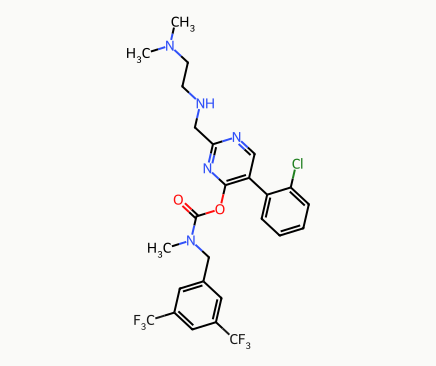 CN(C)CCNCc1ncc(-c2ccccc2Cl)c(OC(=O)N(C)Cc2cc(C(F)(F)F)cc(C(F)(F)F)c2)n1